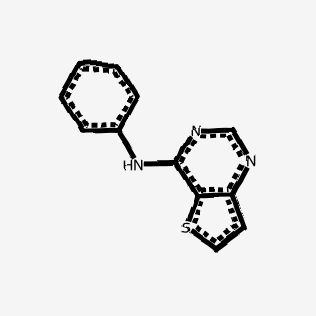 c1ccc(Nc2ncnc3ccsc23)cc1